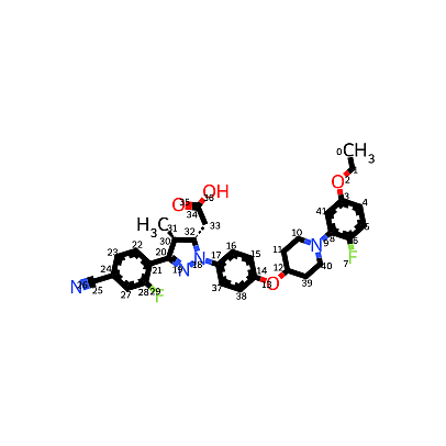 CCOc1ccc(F)c(N2CCC(Oc3ccc(N4N=C(c5ccc(C#N)cc5F)[C@@H](C)[C@@H]4CC(=O)O)cc3)CC2)c1